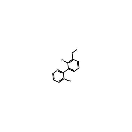 CCc1cccc(-c2ncccc2Cl)c1F